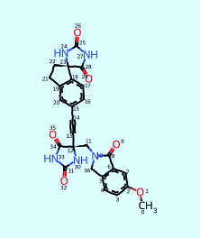 COc1ccc2c(c1)C(=O)N(C[C@@]1(C#Cc3ccc4c(c3)CC[C@]43NC(=O)NC3=O)NC(=O)NC1=O)C2